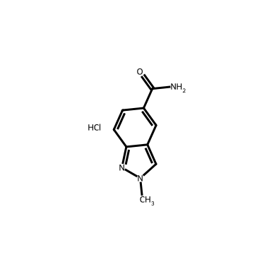 Cl.Cn1cc2cc(C(N)=O)ccc2n1